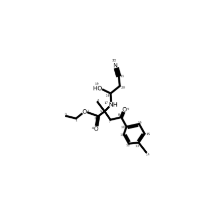 CCOC(=O)C(C)(CC(=O)c1ccc(C)cc1)NC(O)CC#N